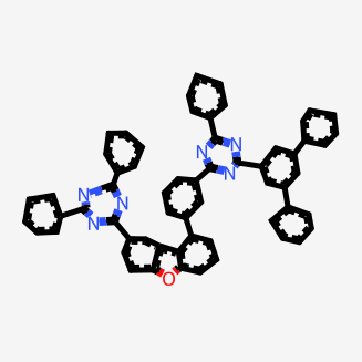 c1ccc(-c2cc(-c3ccccc3)cc(-c3nc(-c4ccccc4)nc(-c4cccc(-c5cccc6oc7ccc(-c8nc(-c9ccccc9)nc(-c9ccccc9)n8)cc7c56)c4)n3)c2)cc1